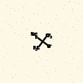 [Na+].[O-]C(F)(C(F)(F)F)C(F)(F)F